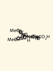 COc1ccc(COc2ccc(CNCCN3CC[C@@H](c4cc(C(=O)O)on4)C3)c(Cl)c2OCc2ccc(OC)cc2)cc1